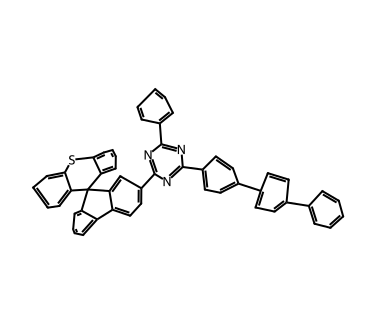 c1ccc(-c2ccc(-c3ccc(-c4nc(-c5ccccc5)nc(-c5ccc6c(c5)C5(c7ccccc7Sc7ccccc75)c5ccccc5-6)n4)cc3)cc2)cc1